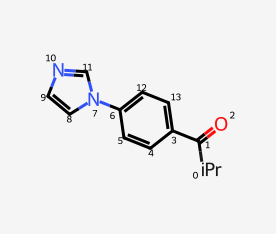 CC(C)C(=O)c1ccc(-n2ccnc2)cc1